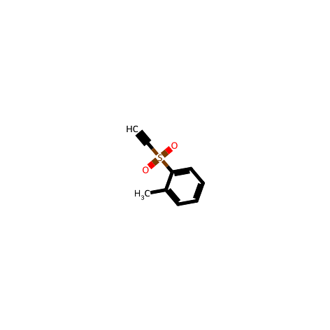 C#CS(=O)(=O)c1ccccc1C